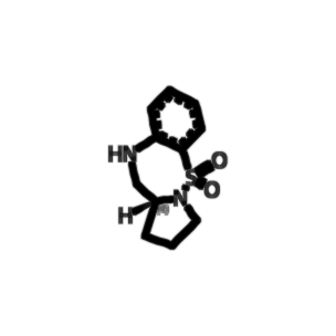 O=S1(=O)c2ccccc2NC[C@H]2CCCN21